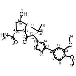 CNC(=O)[C@@H]1C[C@@H](O)CN1C(=O)[C@@H](n1cc(-c2ccc(OC)c(OC)c2)nn1)C(C)(C)C